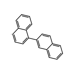 [c]1ccc(-c2ccc3ccccc3c2)c2ccccc12